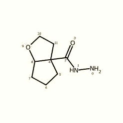 NNC(=O)C12CCCC1OCC2